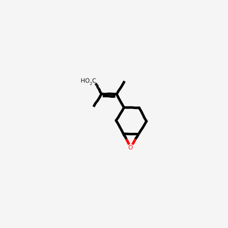 CC(C(=O)O)=C(C)C1CCC2OC2C1